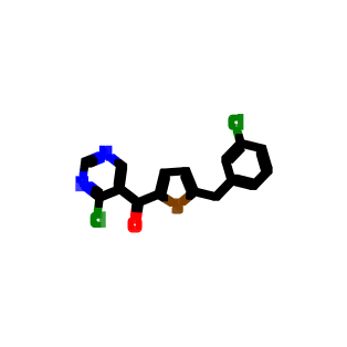 O=C(c1ccc(Cc2cccc(Cl)c2)s1)c1cncnc1Cl